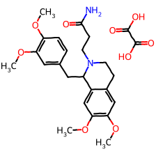 COc1ccc(CC2c3cc(OC)c(OC)cc3CCN2CCC(N)=O)cc1OC.O=C(O)C(=O)O